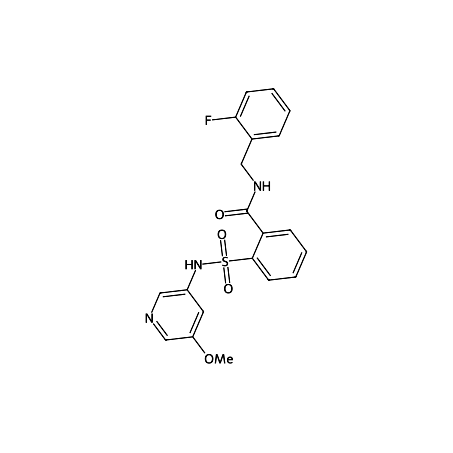 COc1cncc(NS(=O)(=O)c2ccccc2C(=O)NCc2ccccc2F)c1